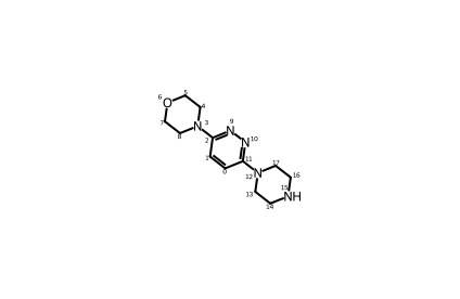 c1cc(N2CCOCC2)nnc1N1CCNCC1